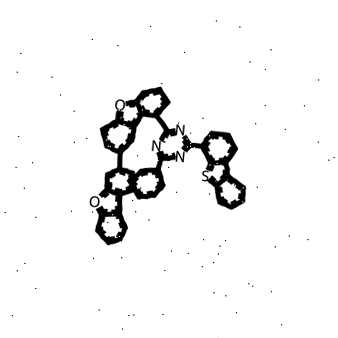 c1ccc(-c2nc(-c3cccc4c3sc3ccccc34)nc(-c3cccc4oc5ccc(-c6ccc7c(c6)oc6ccccc67)cc5c34)n2)cc1